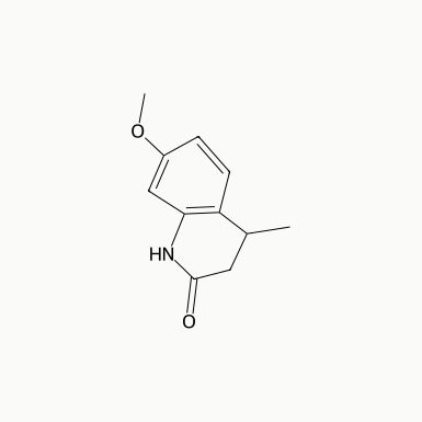 COc1ccc2c(c1)NC(=O)CC2C